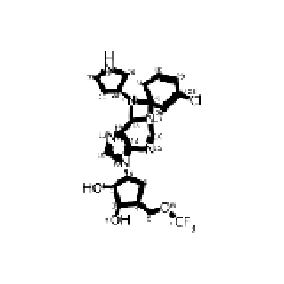 O[C@@H]1[C@H](O)C(COC(F)(F)F)C[C@H]1n1cnc2c1N=CN1C2N([C@H]2CCNC2)C12C=C(Cl)C=CC2